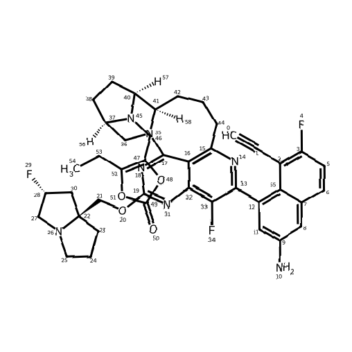 C#Cc1c(F)ccc2cc(N)cc(-c3nc4c5c(nc(OC[C@@]67CCCN6C[C@H](F)C7)nc5c3F)N3C[C@H]5CC[C@@H]([C@H]3CCC4)N5Cc3oc(=O)oc3CC)c12